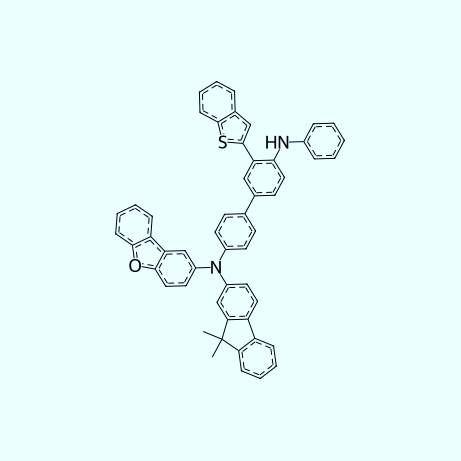 CC1(C)c2ccccc2-c2ccc(N(c3ccc(-c4ccc(Nc5ccccc5)c(-c5cc6ccccc6s5)c4)cc3)c3ccc4oc5ccccc5c4c3)cc21